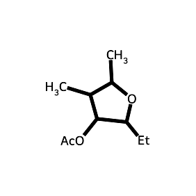 CCC1OC(C)C(C)C1OC(C)=O